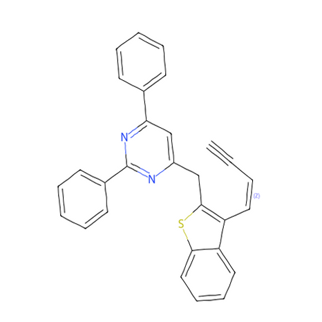 C#C/C=C\c1c(Cc2cc(-c3ccccc3)nc(-c3ccccc3)n2)sc2ccccc12